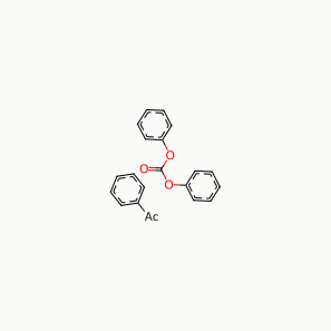 CC(=O)c1ccccc1.O=C(Oc1ccccc1)Oc1ccccc1